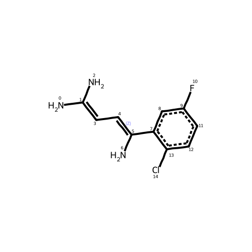 NC(N)=C/C=C(\N)c1cc(F)ccc1Cl